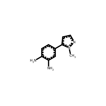 Cn1nccc1-c1ccc(N)c(N)c1